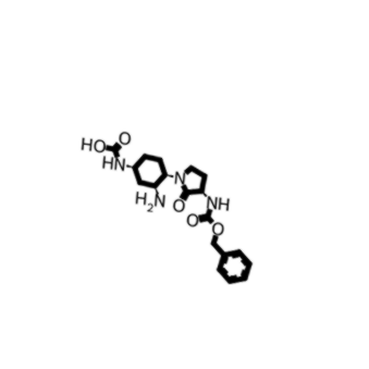 N[C@@H]1C[C@H](NC(=O)O)CC[C@@H]1N1CC[C@H](NC(=O)OCc2ccccc2)C1=O